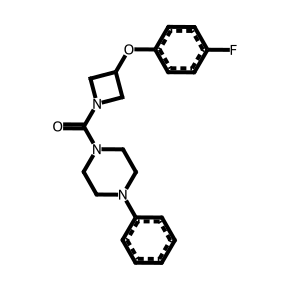 O=C(N1CCN(c2ccccc2)CC1)N1CC(Oc2ccc(F)cc2)C1